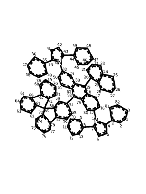 c1ccc(-c2ccc(-c3ccccc3)n2-c2ccc3c(-c4cccc5ccccc45)c4cc(-n5c(-c6ccccc6)ccc5-c5ccccc5)ccc4c(-c4ccc5c(c4)C4(c6ccccc6-c6ccccc64)c4ccccc4-5)c3c2)cc1